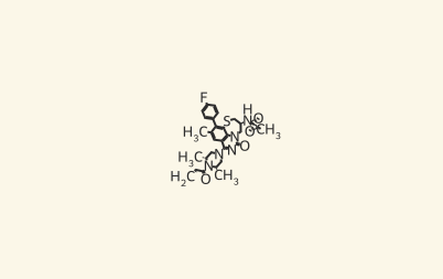 C=CC(=O)N1[C@H](C)CN(c2nc(=O)n3c4c(c(-c5ccc(F)cc5)c(C)cc24)SC[C@@H](NS(C)(=O)=O)C3)C[C@@H]1C